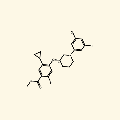 COC(=O)c1cc(C2CC2)c(O[C@@H]2CCCN(c3cc(Cl)cc(Cl)c3)C2)cc1F